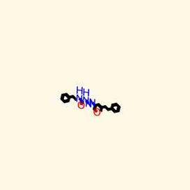 O=C(NCCc1ccccc1)NN=NC1=COCC(CCc2ccccc2)=C1